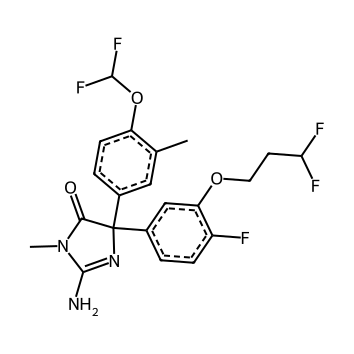 Cc1cc(C2(c3ccc(F)c(OCCC(F)F)c3)N=C(N)N(C)C2=O)ccc1OC(F)F